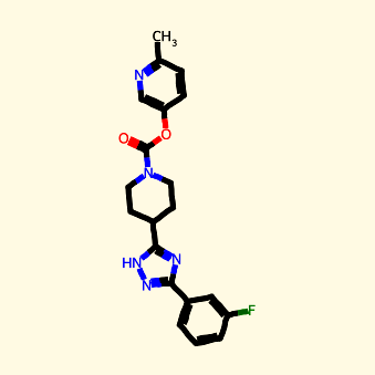 Cc1ccc(OC(=O)N2CCC(c3nc(-c4cccc(F)c4)n[nH]3)CC2)cn1